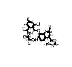 Cc1cc(Cl)c(COc2cccc3c(-c4ncnn4C)cc(C)nc23)c([C@H](C)NC(=O)[C@@H](C)O)c1